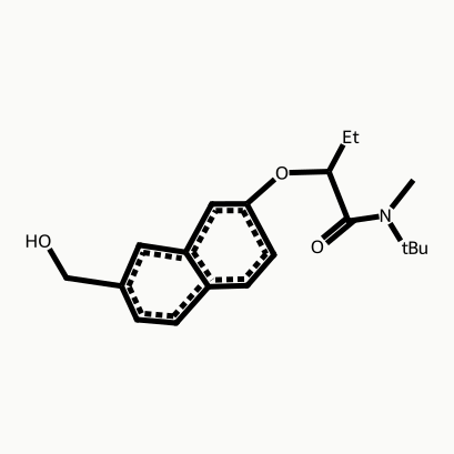 CCC(Oc1ccc2ccc(CO)cc2c1)C(=O)N(C)C(C)(C)C